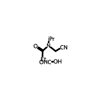 CCC(=O)N(CC#N)C(C)C.O=CO